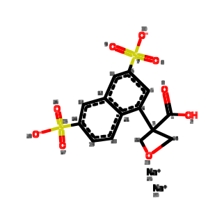 O=C(O)C1(c2cc(S(=O)(=O)[O-])cc3cc(S(=O)(=O)[O-])ccc23)COC1.[Na+].[Na+]